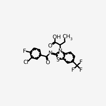 CCC(C(=O)O)n1/c(=N/C(=O)c2ccc(F)c(Cl)c2)sc2cc(C(F)(F)F)ccc21